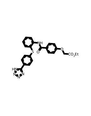 CCOC(=O)COc1ccc(C(=O)Nc2ccccc2Sc2ccc(-c3nnn[nH]3)cc2)cc1